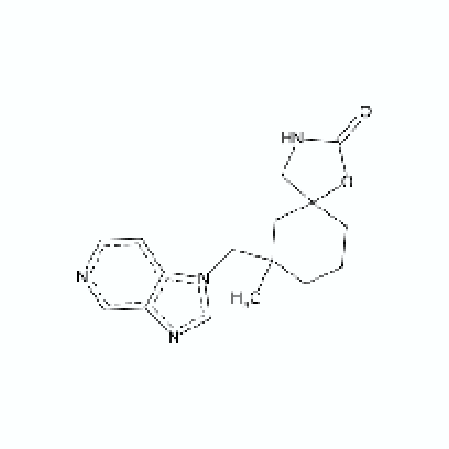 CC1(Cn2cnc3cnccc32)CCCC2(CNC(=O)O2)C1